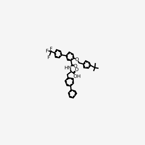 CC(C)(C)c1ccc(COc2ccc(-c3ccc(C(F)(F)F)cc3)cc2C(=O)NC(Cc2ccc(-c3ccccc3)cc2)C(=O)O)cc1